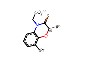 CC(C)c1cccc2c1O[C@@H](C(C)C)C(=S)N2CC(=O)O